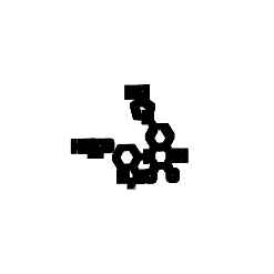 Cl.Cl.NC1CCCCC1n1c(=O)c(=O)[nH]c2ccc(-n3ccnc3)cc21.O.O